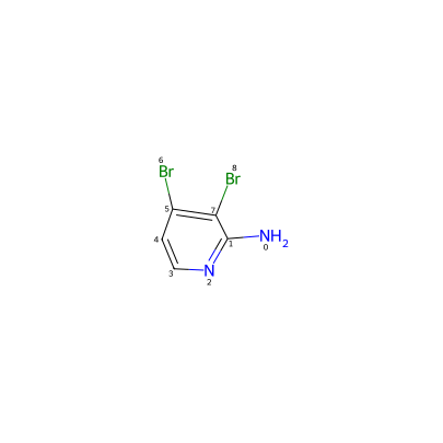 Nc1nccc(Br)c1Br